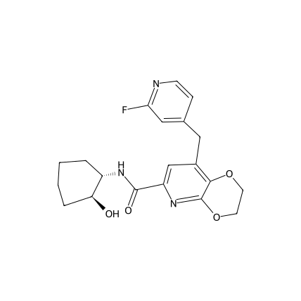 O=C(N[C@H]1CCCC[C@@H]1O)c1cc(Cc2ccnc(F)c2)c2c(n1)OCCO2